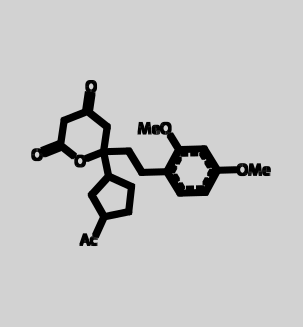 COc1ccc(CCC2(C3CCC(C(C)=O)C3)CC(=O)CC(=O)O2)c(OC)c1